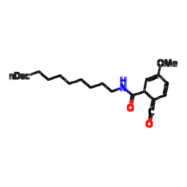 CCCCCCCCCCCCCCCCCCNC(=O)C1C=C(OC)C=CC1=C=O